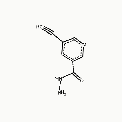 C#Cc1cncc(C(=O)NN)c1